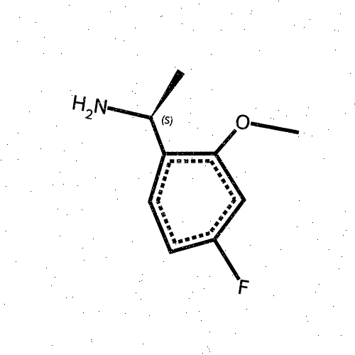 COc1cc(F)ccc1[C@H](C)N